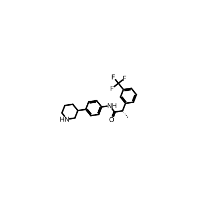 C[C@H](C(=O)Nc1ccc(C2CCCNC2)cc1)c1cccc(C(F)(F)F)c1